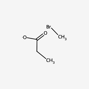 CBr.CCC([O])=O